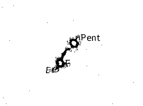 CCCCC[C@H]1CC[C@H](C=CC#Cc2ccc(OCC)cc2F)CC1